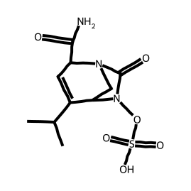 CC(C)C1=CC(C(N)=O)N2CC1N(OS(=O)(=O)O)C2=O